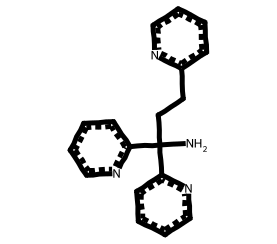 NC(CCc1ccccn1)(c1ccccn1)c1ccccn1